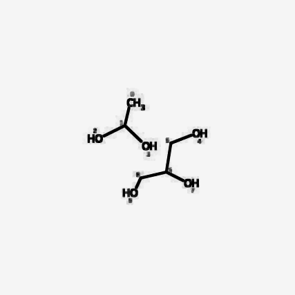 CC(O)O.OCC(O)CO